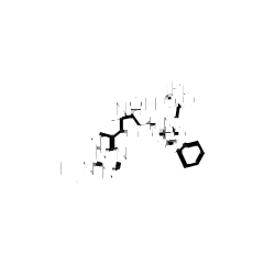 CC(C)OC(=O)[C@H](C)NP(=O)(OC[C@H]1OC(c2cnn3c(N)ncnc23)[C@](C)(N)[C@@H]1O)Oc1ccccc1